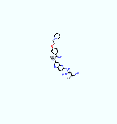 CN/C=C(\C(=N)C1C=CC(OCCN2CCCCC2)=CC1)c1cnc2ccc(N/C(N)=C/C(=C\N)C(C)C)nc2c1